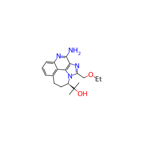 CCOCc1nc2c(N)nc3cccc4c3c2n1[C@@H](C(C)(C)O)CC4